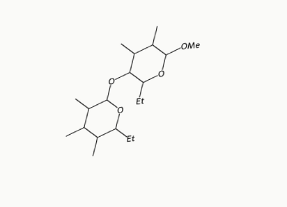 CCC1OC(OC2C(CC)OC(OC)C(C)C2C)C(C)C(C)C1C